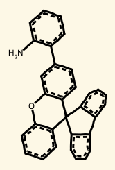 Nc1ccccc1-c1ccc2c(c1)Oc1ccccc1C21c2ccccc2-c2ccccc21